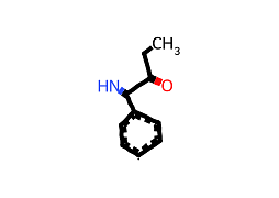 CCC(=O)C(=N)c1cc[c]cc1